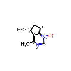 Cc1nc[n+]([O-])c2c1[C@H](C)CC2